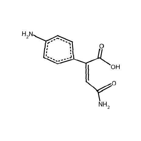 NC(=O)C=C(C(=O)O)c1ccc(N)cc1